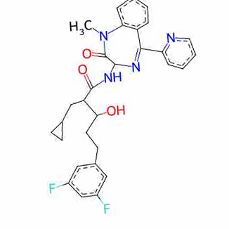 CN1C(=O)C(NC(=O)C(CC2CC2)C(O)CCc2cc(F)cc(F)c2)N=C(c2ccccn2)c2ccccc21